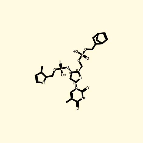 Cc1cn([C@H]2C[C@@H](OP(=O)(O)OCC3OC=CC3C)[C@@H](COP(=O)(O)OCC3CC4C=CC3C4)O2)c(=O)[nH]c1=O